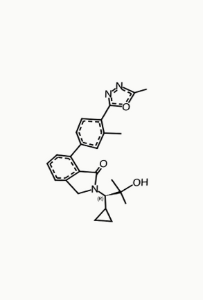 Cc1nnc(-c2ccc(-c3cccc4c3C(=O)N([C@H](C3CC3)C(C)(C)O)C4)cc2C)o1